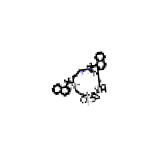 CC1(C)C2=[N+](CCC(=O)NC3(NC(=O)CCN4/C(=C/C=C/C=C/2)C(C)(C)c2c4ccc4ccccc24)SS3)c2ccc3ccccc3c21